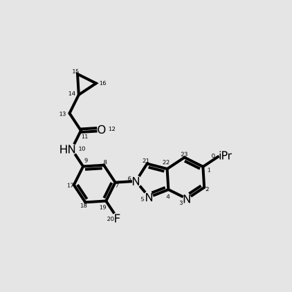 CC(C)c1cnc2nn(-c3cc(NC(=O)CC4CC4)ccc3F)cc2c1